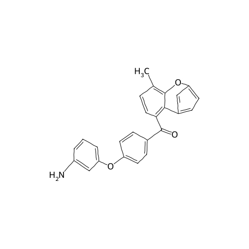 Cc1ccc(C(=O)c2ccc(Oc3cccc(N)c3)cc2)c2c1Oc1ccc-2cc1